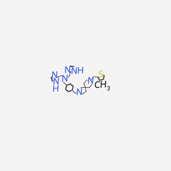 Cc1ccsc1CN1CCC2(CC1)CCN(Cc1ccc(CN(Cc3ncc[nH]3)Cc3ncc[nH]3)cc1)C2